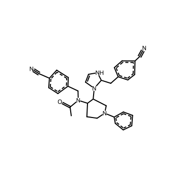 CC(=O)N(Cc1ccc(C#N)cc1)C1CCN(c2ccccc2)CC1N1C=CNC1Cc1ccc(C#N)cc1